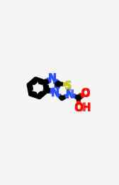 O=C(O)N1Cn2c(nc3ccccc32)S1